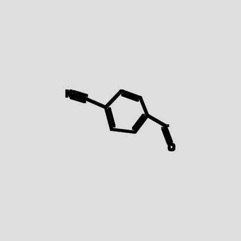 N#Cc1ccc([C]=O)cc1